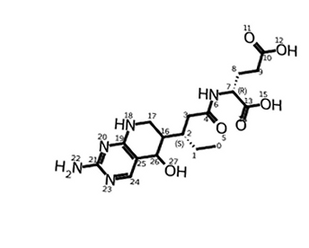 CC[C@@H](CC(=O)N[C@H](CCC(=O)O)C(=O)O)C1CNc2nc(N)ncc2C1O